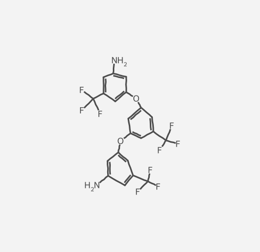 Nc1cc(Oc2cc(Oc3cc(N)cc(C(F)(F)F)c3)cc(C(F)(F)F)c2)cc(C(F)(F)F)c1